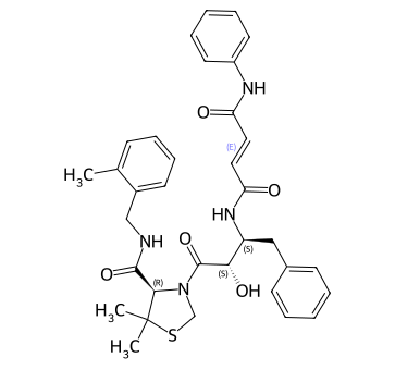 Cc1ccccc1CNC(=O)[C@H]1N(C(=O)[C@@H](O)[C@H](Cc2ccccc2)NC(=O)/C=C/C(=O)Nc2ccccc2)CSC1(C)C